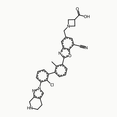 Cc1c(-c2nc3cc(CN4CC(C(=O)O)C4)cc(C#N)c3o2)cccc1-c1cccc(-n2cc3c(n2)CNCC3)c1Cl